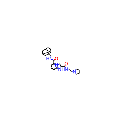 O=C(NCCN1CCCC1)c1cn2c(C(=O)NCC34CC5CC(CC(C5)C3)C4)cccc2n1